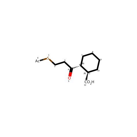 CC(=O)SCCC(=O)[C@@H]1CCCC[C@H]1C(=O)O